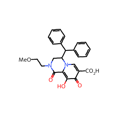 COCCN1CC(C(c2ccccc2)c2ccccc2)n2cc(C(=O)O)c(=O)c(O)c2C1=O